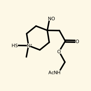 CC(=O)NCOC(=O)CC1(N=O)CC[N+](C)(S)CC1